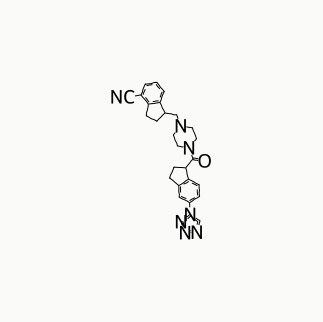 N#Cc1cccc2c1CCC2CN1CCN(C(=O)C2CCc3cc(-n4cnnn4)ccc32)CC1